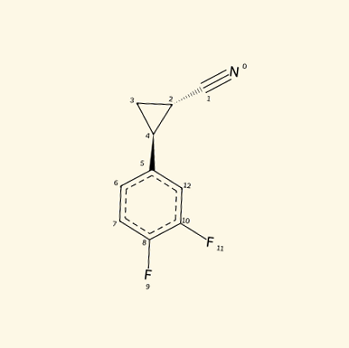 N#C[C@H]1C[C@@H]1c1ccc(F)c(F)c1